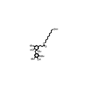 CCCCCCCCCCCCCCCCCCOC(=O)CCC1=CC(Cc2cc(C(C)(C)C)c(O)c(C(C)(C)C)c2)(C(C)(C)C)C(O)C(C(C)(C)C)=C1